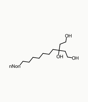 CCCCCCCCCCCCCCCCC(O)(CCO)CCO